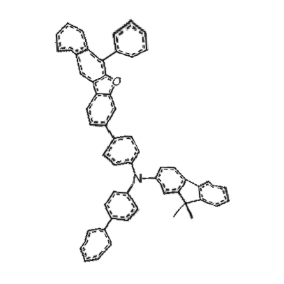 CC1(C)c2ccccc2-c2ccc(N(c3ccc(-c4ccccc4)cc3)c3ccc(-c4ccc5c(c4)oc4c(-c6ccccc6)c6ccccc6cc45)cc3)cc21